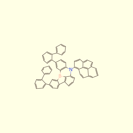 c1ccc(-c2ccccc2-c2ccc3c(c2)B2c4cc(-c5ccccc5-c5ccccc5)ccc4N(c4ccc5ccc6cccc7ccc4c5c67)c4cccc-3c42)cc1